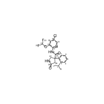 CC(C)c1ccccc1C1(C(=O)Nc2ncc(Cl)cc2OC(F)F)CNC(=O)C1